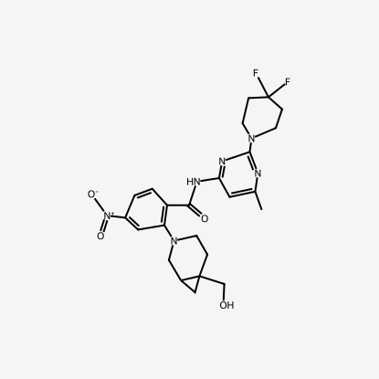 Cc1cc(NC(=O)c2ccc([N+](=O)[O-])cc2N2CCC3(CO)CC3C2)nc(N2CCC(F)(F)CC2)n1